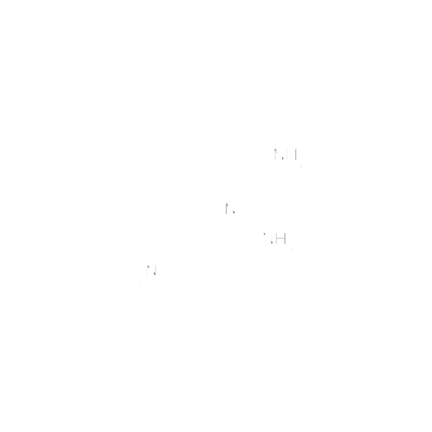 NCCN(N)CN